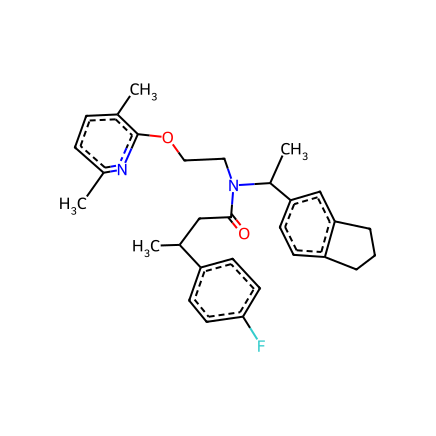 Cc1ccc(C)c(OCCN(C(=O)CC(C)c2ccc(F)cc2)C(C)c2ccc3c(c2)CCC3)n1